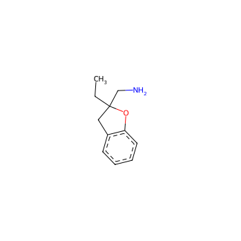 CCC1(CN)Cc2ccccc2O1